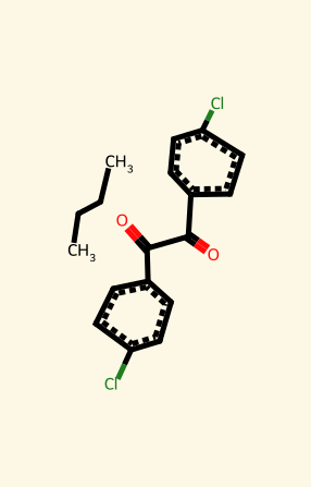 CCCC.O=C(C(=O)c1ccc(Cl)cc1)c1ccc(Cl)cc1